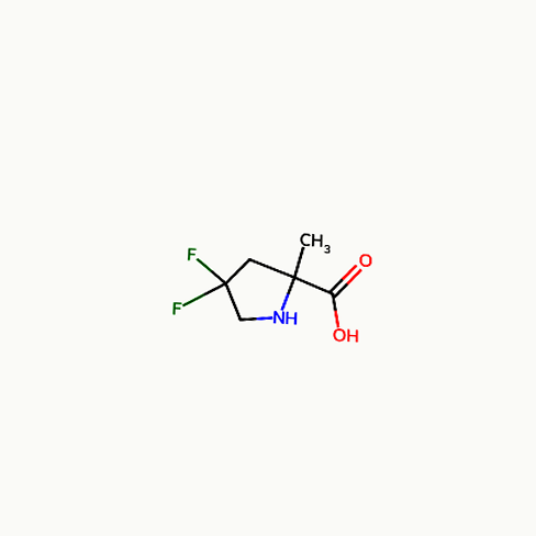 CC1(C(=O)O)CC(F)(F)CN1